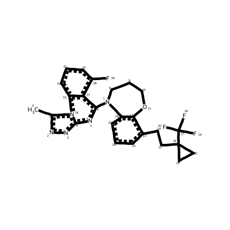 Cc1nnc2nc(N3CCCOc4c(CCC5(C(F)(F)F)CC5)cccc43)c3c(F)cccc3n12